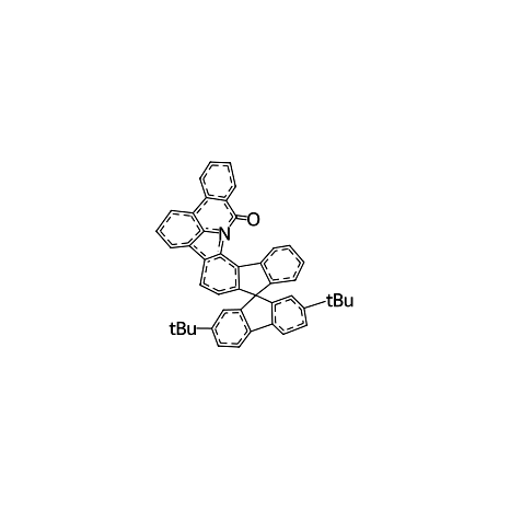 CC(C)(C)c1ccc2c(c1)C1(c3cc(C(C)(C)C)ccc3-2)c2ccccc2-c2c1ccc1c3cccc4c5ccccc5c(=O)n(c21)c43